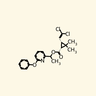 CC(OC(=O)[C@@H]1[C@H](C=C(Cl)Cl)C1(C)C)c1cccc(Oc2ccccc2)n1